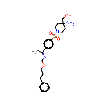 C/C(=N\COCCCc1ccccc1)c1ccc(S(=O)(=O)N2CCC(N)(CO)CC2)cc1